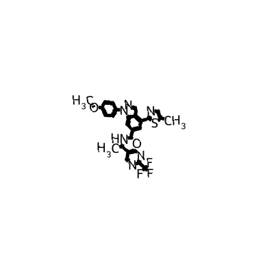 COc1ccc(-n2ncc3c(-c4ncc(C)s4)cc(C(=O)NC(C)c4cnc(C(F)(F)F)nc4)cc32)cc1